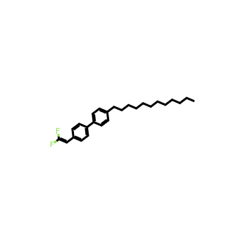 CCCCCCCCCCCCc1ccc(-c2ccc(C=C(F)F)cc2)cc1